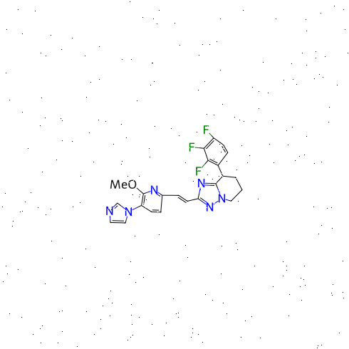 COc1nc(C=Cc2nc3n(n2)CCCC3c2ccc(F)c(F)c2F)ccc1-n1ccnc1